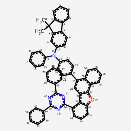 CC1(C)c2ccccc2-c2ccc(N(c3ccccc3)c3ccc(-c4cc5c(oc6cccc(-c7nc(-c8ccccc8)nc(-c8ccccc8)n7)c65)c5ccccc45)cc3)cc21